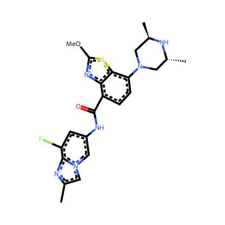 COc1nc2c(C(=O)Nc3cc(F)c4nc(C)cn4c3)ccc(N3C[C@@H](C)N[C@H](C)C3)c2s1